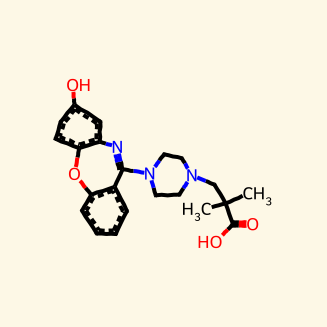 CC(C)(CN1CCN(C2=Nc3cc(O)ccc3Oc3ccccc32)CC1)C(=O)O